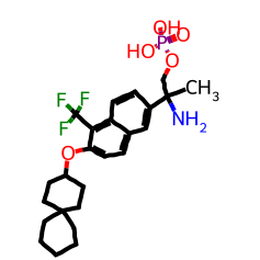 CC(N)(COP(=O)(O)O)c1ccc2c(C(F)(F)F)c(OC3CCC4(CCCCC4)CC3)ccc2c1